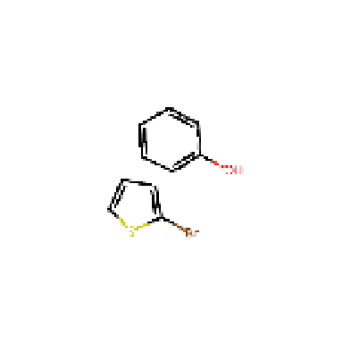 Brc1cccs1.Oc1ccccc1